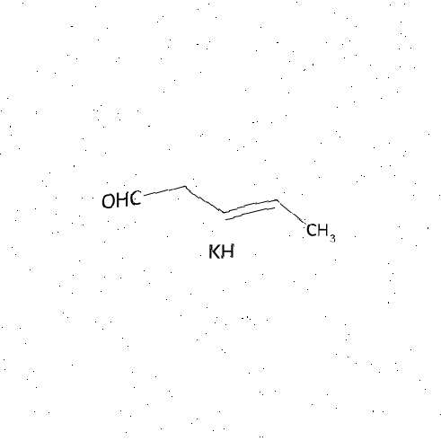 CC=CCC=O.[KH]